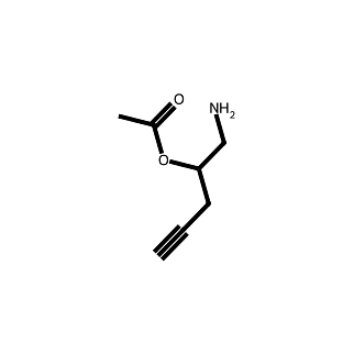 C#CCC(CN)OC(C)=O